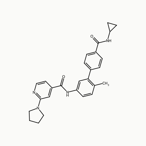 Cc1ccc(NC(=O)c2ccnc(N3CCCC3)c2)cc1-c1ccc(C(=O)NC2CC2)cc1